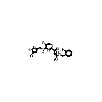 CO/C(=C/C(=N)c1ncc(F)c(NCc2cc(=O)[nH]o2)n1)NCc1ccccc1F